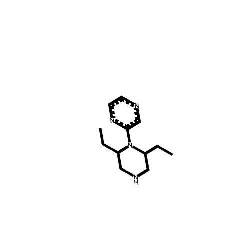 CCC1CNCC(CC)N1c1cnccn1